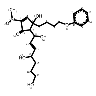 C[S+]([O-])C1=CC(O)(CCCCOc2ccccc2)C(C(O)/C=C/C(O)CCCO)C1=O